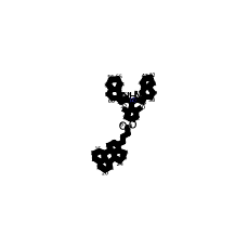 Cc1cc(OC(=O)CCCc2ccc3c4cccc5cccc(c6cccc2c63)c54)cc(C)c1/C(=C1\C=C2CCc3ccccc3C2=N1)c1cc2c([nH]1)-c1ccccc1CC2